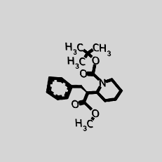 COC(=O)[C@@H](Cc1ccccc1)C1CCCCN1C(=O)OC(C)(C)C